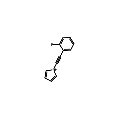 Fc1ccccc1C#C[SiH]1C=CC=C1